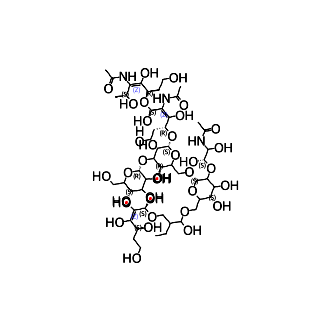 CCC(CO[C@H](O)/C(O)=C(/O)[C@@H](O)CCO)C(O)OCC1O[C@H](OCC2O[C@@H](O[C@H](CCO)/C(O)=C(/NC(C)=O)[C@@H](O)O[C@H](CCO)/C(O)=C(/NC(C)=O)[C@H](C)O)C(O)C(O[C@H]3OC(CO)[C@@H](O)C(O)C3O)[C@@H]2O)C(O[C@H](O)C(O)NC(C)=O)C(O)[C@@H]1O